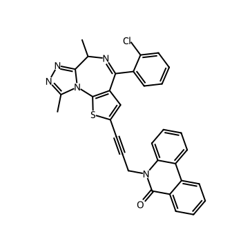 Cc1nnc2n1-c1sc(C#CCn3c(=O)c4ccccc4c4ccccc43)cc1C(c1ccccc1Cl)=NC2C